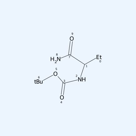 CCC(NC(=O)OC(C)(C)C)C(N)=O